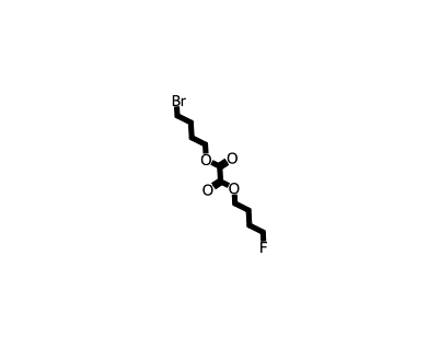 O=C(OCCCCF)C(=O)OCCCCBr